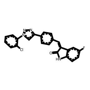 O=C1Nc2ccc(F)cc2/C1=C/c1ccc(-c2cn(-c3ccccc3Cl)nn2)cc1